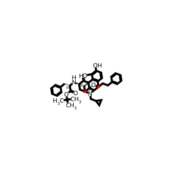 CC(C)(C)OC(=O)[C@H](Cc1ccccc1)N[C@@H]1CC[C@@]2(OCCCc3ccccc3)C3Cc4ccc(O)c5c4[C@@]2(CCN3CC2CC2)[C@H]1O5